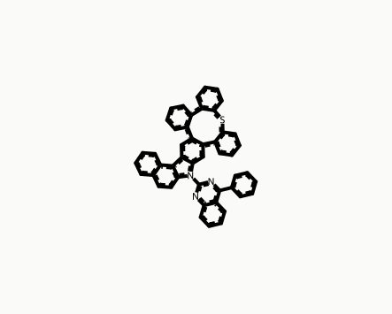 c1ccc(-c2nc(-n3c4cc5c6ccccc6sc6ccccc6c6ccccc6c5cc4c4c5ccccc5ccc43)nc3ccccc23)cc1